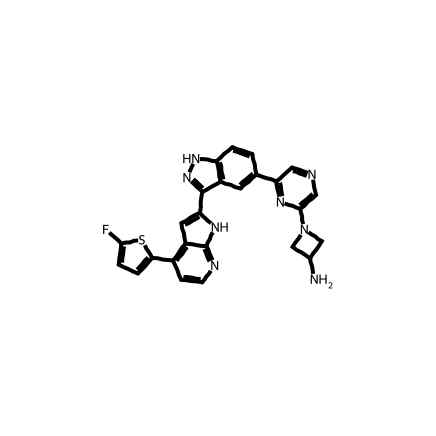 NC1CN(c2cncc(-c3ccc4[nH]nc(-c5cc6c(-c7ccc(F)s7)ccnc6[nH]5)c4c3)n2)C1